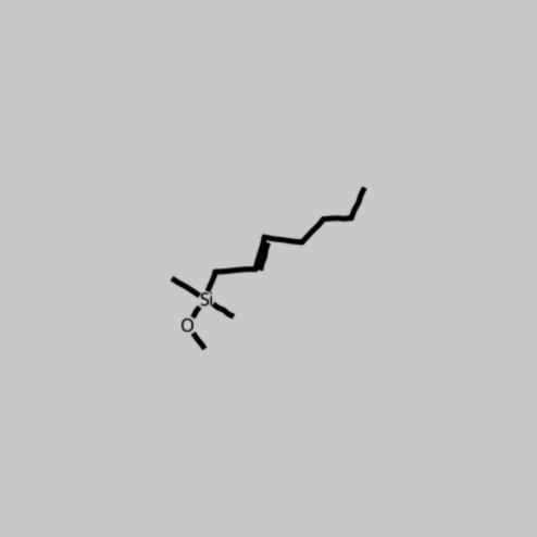 CCCCC=CC[Si](C)(C)OC